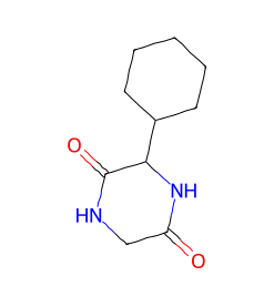 O=C1CNC(=O)C(C2CCCCC2)N1